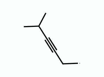 [CH2]CC#CC(C)C